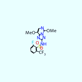 COc1cnc(OC)n2nc(NS(=O)(=O)c3c(F)cccc3C(F)(F)F)nc12